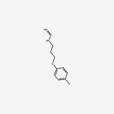 N=CNCCCOc1ccc(F)cc1